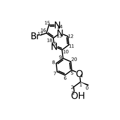 C[C@@H](CO)Oc1cccc(-c2ccn3ncc(Br)c3n2)c1